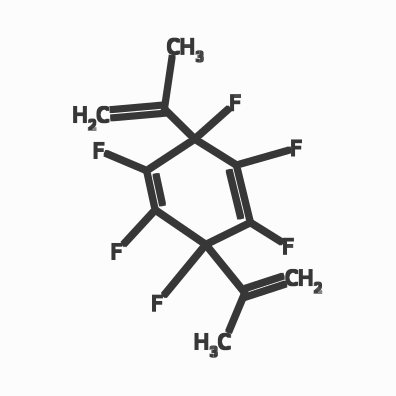 C=C(C)C1(F)C(F)=C(F)C(F)(C(=C)C)C(F)=C1F